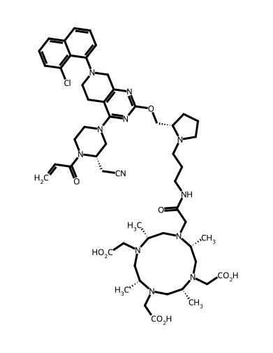 C=CC(=O)N1CCN(c2nc(OC[C@@H]3CCCN3CCCNC(=O)CN3C[C@@H](C)N(CC(=O)O)C[C@@H](C)N(CC(=O)O)C[C@@H](C)N(CC(=O)O)C[C@H]3C)nc3c2CCN(c2cccc4cccc(Cl)c24)C3)C[C@@H]1CC#N